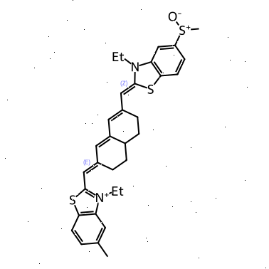 CCN1/C(=C/C2=CC3=C/C(=C/c4sc5ccc(C)cc5[n+]4CC)CCC3CC2)Sc2ccc([S+](C)[O-])cc21